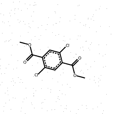 COC(=O)c1cc(Cl)c(C(=O)OC)cc1Cl